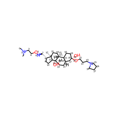 CN(C)CCO/N=C/[C@H]1CC[C@]2(O)[C@@H]3CC[C@@H]4C[C@](O)(OCCCN5CCCC5)CC[C@]4(C)[C@H]3CC[C@]12C